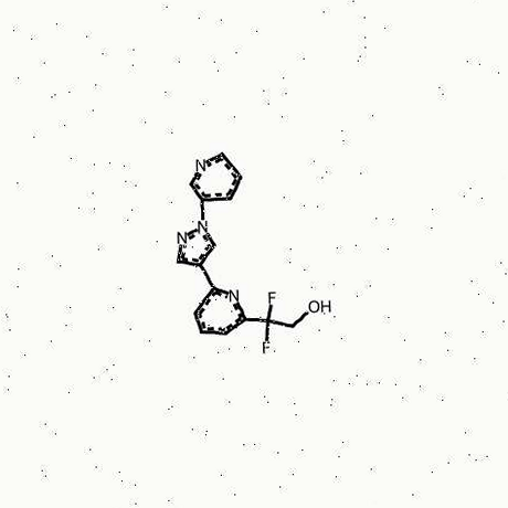 OCC(F)(F)c1cccc(-c2cnn(-c3cccnc3)c2)n1